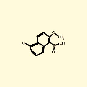 COc1ccc2c(Cl)cccc2c1B(O)O